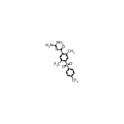 Cc1cc(S(=O)(=O)c2ccc(C(F)(F)F)cc2)c(C(F)(F)F)cc1C(=O)N=C(N)N